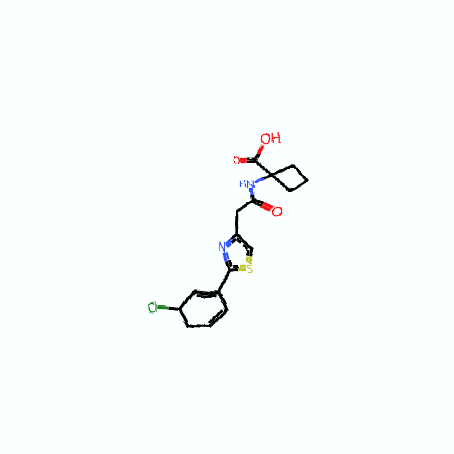 O=C(Cc1csc(C2=CC(Cl)CC=C2)n1)NC1(C(=O)O)CCC1